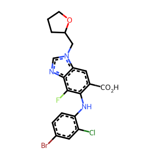 O=C(O)c1cc2c(ncn2CC2CCCO2)c(F)c1Nc1ccc(Br)cc1Cl